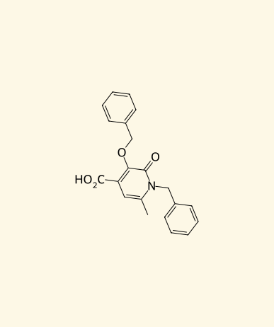 Cc1cc(C(=O)O)c(OCc2ccccc2)c(=O)n1Cc1ccccc1